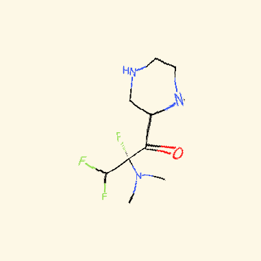 CN(C)[C@](F)(C(=O)C1CNCC[N]1)C(F)F